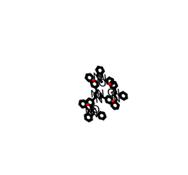 O=P1(c2cccc(-c3nc(-c4cccc(P5(=O)N(c6ccccc6)c6ccccc6N5c5ccccc5)c4)nc(-c4cccc(P5(=O)N(c6ccccc6)c6ccccc6N5c5ccccc5)c4)n3)c2)N(c2ccccc2)c2ccccc2N1c1ccccc1